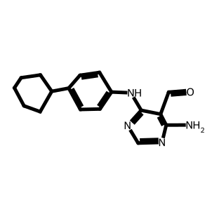 Nc1ncnc(Nc2ccc(C3CCCCC3)cc2)c1C=O